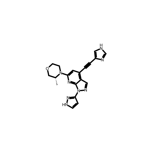 C[C@@H]1COCCN1c1cc(C#Cc2c[nH]cn2)c2cnn(-c3cc[nH]n3)c2n1